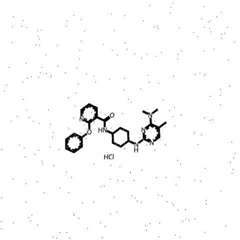 Cc1cnc(NC2CCC(NC(=O)c3cccnc3Oc3ccccc3)CC2)nc1N(C)C.Cl